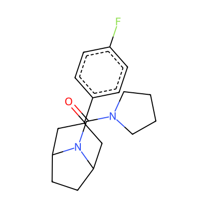 O=C(N1CCCC1)N1C2CCC1CC(c1ccc(F)cc1)C2